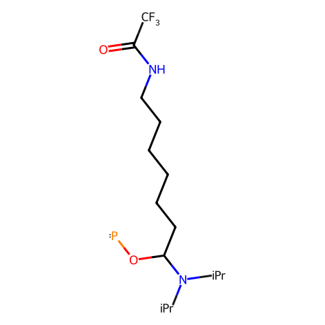 CC(C)N(C(C)C)C(CCCCCCNC(=O)C(F)(F)F)O[P]